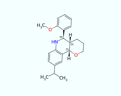 COc1ccccc1[C@@H]1Nc2ccc(C(C)C)cc2[C@H]2OCCC[C@H]21